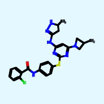 CC1CN(c2cc(NC3=NNC(C)C3)nc(Sc3ccc(NC(=O)c4ccccc4Cl)cc3)n2)C1